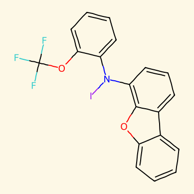 FC(F)(F)Oc1ccccc1N(I)c1cccc2c1oc1ccccc12